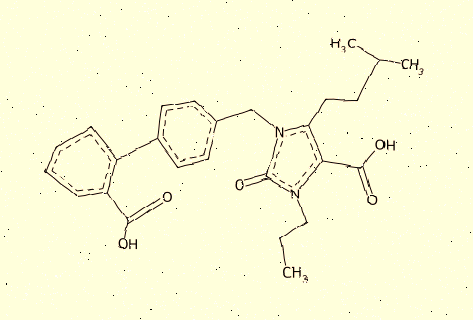 CCCn1c(C(=O)O)c(CCC(C)C)n(Cc2ccc(-c3ccccc3C(=O)O)cc2)c1=O